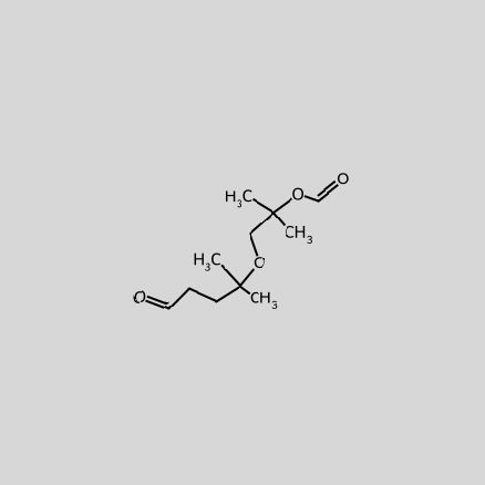 CC(C)(COC(C)(C)CCC=O)OC=O